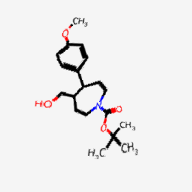 COc1ccc(C2CCN(C(=O)OC(C)(C)C)CCC2CO)cc1